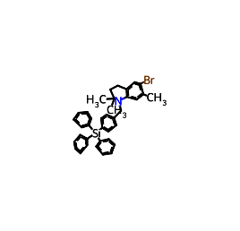 Cc1cc2c(cc1Br)CCC(C)(C)N2Cc1ccc([Si](c2ccccc2)(c2ccccc2)c2ccccc2)cc1